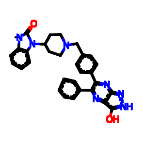 O=C1[N]c2ccccc2N1C1CCN(Cc2ccc(-c3nc4n[nH]c(O)c4nc3-c3ccccc3)cc2)CC1